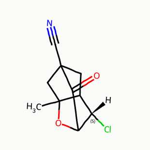 CC12CC3(C#N)CC1[C@H](Cl)C(O2)C3=O